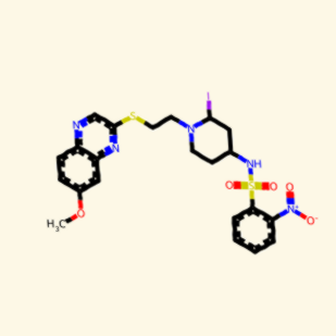 COc1ccc2ncc(SCCN3CCC(NS(=O)(=O)c4ccccc4[N+](=O)[O-])CC3I)nc2c1